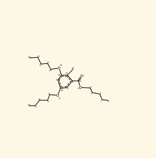 CCCCCOC(=O)c1cc(OCCCCC)cc(OCCCCC)c1C